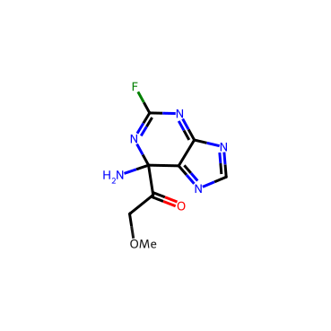 COCC(=O)C1(N)N=C(F)N=C2N=CN=C21